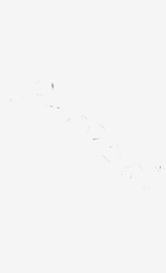 COC(=O)[C@@H](NS(=O)(=O)c1ccc(-c2ccc(NC(=O)c3oc4cccc(CO[Si](C)(C)C(C)(C)C)c4c3C)cc2)cc1)C(C)C